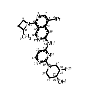 CC(C)c1cnc(N2CC[C@@H]2C)c2cnc(Nc3ccnc(N4CC[C@H](O)[C@H](F)C4)n3)cc12